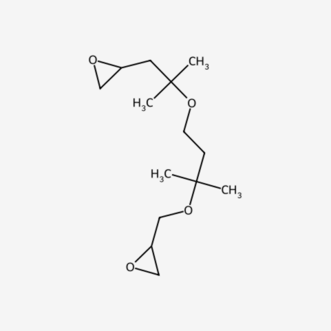 CC(C)(CCOC(C)(C)CC1CO1)OCC1CO1